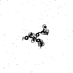 CC(=O)OCC(O)(C=CCc1ccc([C@@H]2[C@@H](CCC(OC(C)=O)c3ccc(F)cc3)C(=O)N2c2ccc(OS(=O)(=O)C(F)(F)F)cc2)cc1)COC(C)=O